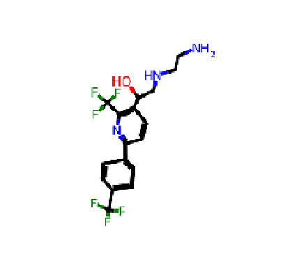 NCCNCC(O)c1ccc(-c2ccc(C(F)(F)F)cc2)nc1C(F)(F)F